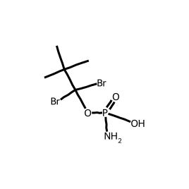 CC(C)(C)C(Br)(Br)OP(N)(=O)O